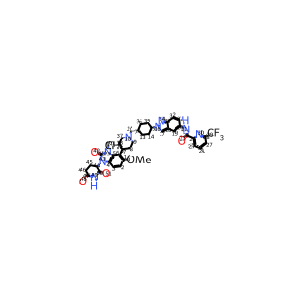 COc1ccc2c(c1C1CCN(C[C@H]3CC[C@H](n4cc5cc(NC(=O)c6cccc(C(F)(F)F)n6)ccc5n4)CC3)CC1)n(C)c(=O)n2C1CCC(=O)NC1=O